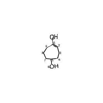 OC1=CCCC(O)CCC1